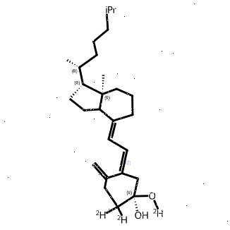 [2H]O[C@]1(O)C/C(=C/C=C2CCC[C@@]3(C)C2CC[C@@H]3[C@H](C)CCCC(C)C)C(=C)CC1([2H])[2H]